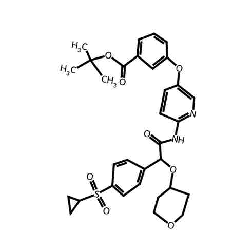 CC(C)(C)OC(=O)c1cccc(Oc2ccc(NC(=O)C(OC3CCOCC3)c3ccc(S(=O)(=O)C4CC4)cc3)nc2)c1